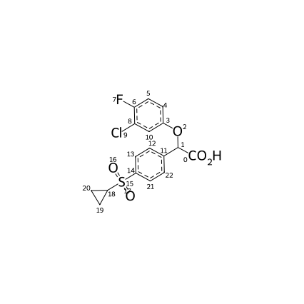 O=C(O)C(Oc1ccc(F)c(Cl)c1)c1ccc(S(=O)(=O)C2CC2)cc1